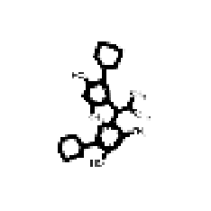 Cc1cc(O)c(C2CCCCC2)cc1C(c1cc(C2CCCCC2)c(O)cc1C)C(C)C